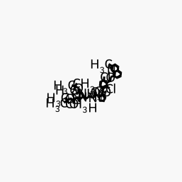 Cc1ccc2cccc(OCc3c(Cl)ccc(S(=O)(=O)N4CCC[C@H]4C(=O)NCCN(C=NC(=O)OC(C)(C)C)NC(=O)OC(C)(C)C)c3Cl)c2n1